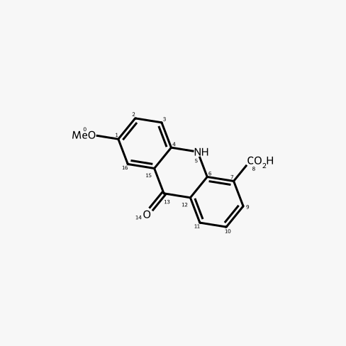 COc1ccc2[nH]c3c(C(=O)O)cccc3c(=O)c2c1